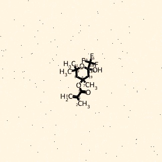 C=C(C)C(=O)OC1(C)CC(C)(C)OC(O)(C(F)(F)F)C1